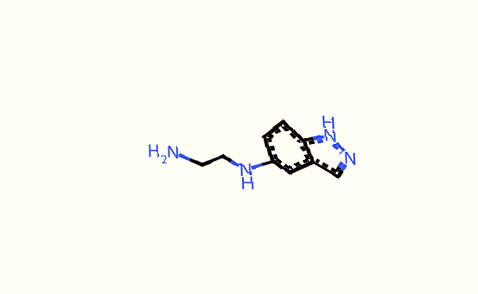 NCCNc1ccc2[nH]ncc2c1